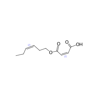 CC/C=C\CCOC(=O)/C=C\C(=O)O